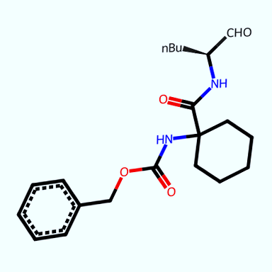 CCCC[C@@H](C=O)NC(=O)C1(NC(=O)OCc2ccccc2)CCCCC1